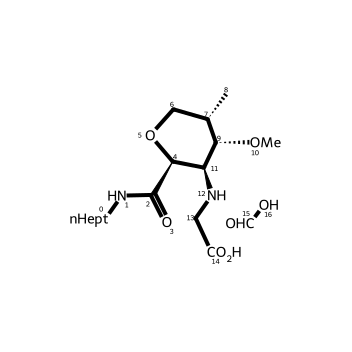 CCCCCCCNC(=O)[C@H]1OC[C@H](C)[C@H](OC)[C@H]1NCC(=O)O.O=CO